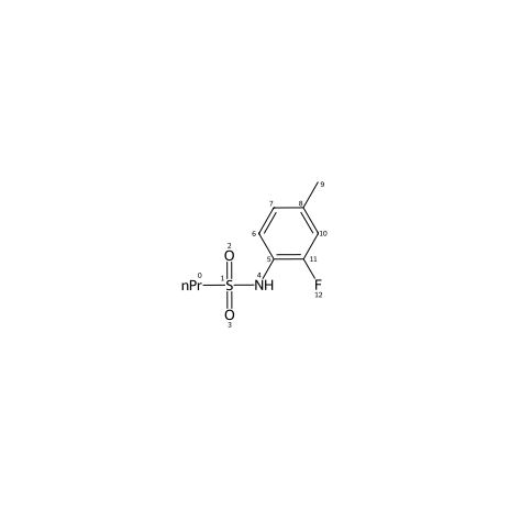 CCCS(=O)(=O)Nc1ccc(C)cc1F